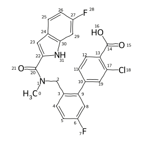 CN(Cc1ccc(F)cc1-c1ccc(C(=O)O)c(Cl)c1)C(=O)c1cc2ccc(F)cc2[nH]1